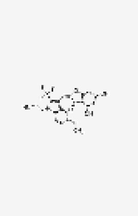 COc1ccc2c(c1)c(C=C1Oc3cc(O)cc(O)c3C1=O)c(C(F)(F)F)n2CCO